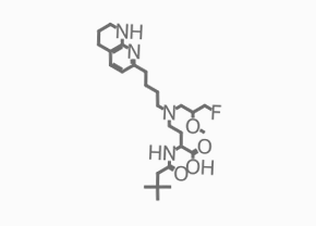 COC(CF)CN(CCCCc1ccc2c(n1)NCCC2)CCC(NC(=O)CC(C)(C)C)C(=O)O